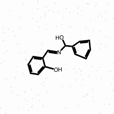 Oc1ccccc1C=NC(O)c1ccccc1